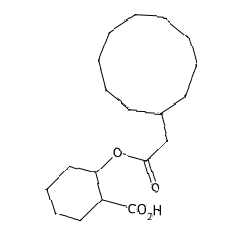 O=C(CC1CCCCCCCCC1)OC1CCCCC1C(=O)O